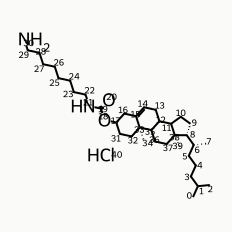 CC(C)CCC[C@@H](C)[C@H]1CCC2C3CC=C4CC(OC(=O)NCCCCCCCCN)CC[C@]4(C)C3CC[C@@]21C.Cl